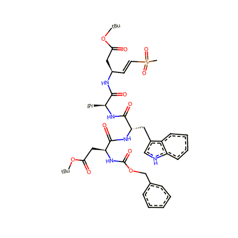 CC(C)[C@H](NC(=O)[C@H](Cc1c[nH]c2ccccc12)NC(=O)[C@H](CC(=O)OC(C)(C)C)NC(=O)OCc1ccccc1)C(=O)N[C@H](/C=C/S(C)(=O)=O)CC(=O)OC(C)(C)C